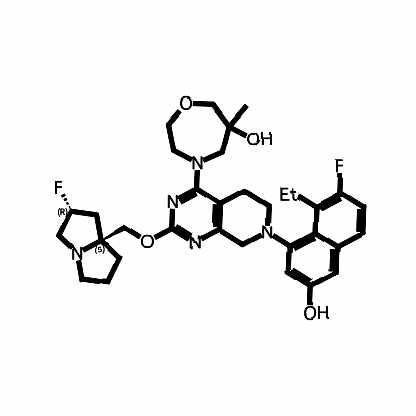 CCc1c(F)ccc2cc(O)cc(N3CCc4c(nc(OC[C@@]56CCCN5C[C@H](F)C6)nc4N4CCOCC(C)(O)C4)C3)c12